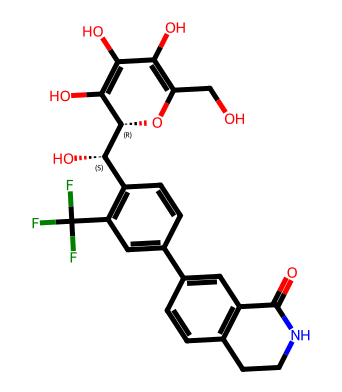 O=C1NCCc2ccc(-c3ccc([C@H](O)[C@H]4OC(CO)=C(O)C(O)=C4O)c(C(F)(F)F)c3)cc21